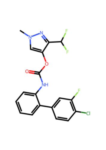 Cn1cc(OC(=O)Nc2ccccc2-c2ccc(Cl)c(F)c2)c(C(F)F)n1